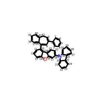 C1=C(c2ccccc2)C=C(c2cccc3oc4cc(-n5c6ccccc6c6ccccc65)ccc4c23)c2ccccc2C1